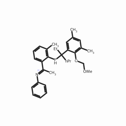 CCCC(CC)(Pc1c(C)cccc1/C(C)=N/c1ccccc1)c1cc(C)cc(C)c1OCOC